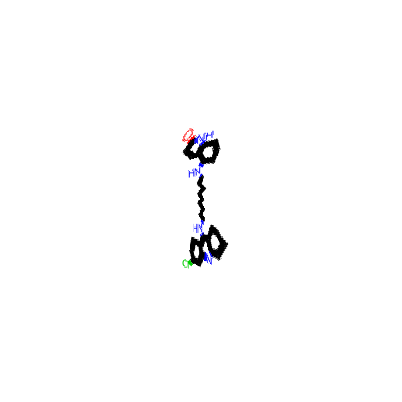 O=c1ccc2c([nH]1)CCCC2NCCCCCCCCCNc1c2c(nc3cc(Cl)ccc13)CCCC2